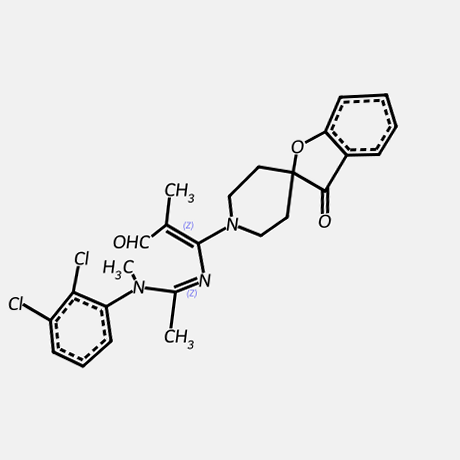 C/C(=N/C(=C(/C)C=O)N1CCC2(CC1)Oc1ccccc1C2=O)N(C)c1cccc(Cl)c1Cl